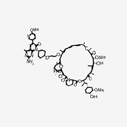 COc1ccc(-c2cc3c(C)nc(N)nc3n([C@H]3CC[C@H](OCCO[C@H]4C[C@@H]5CC[C@@H](C)[C@@](O)(O5)C(=O)C(=O)N5CCCCC5C(=O)O[C@H](C(C)C[C@H]5CC[C@@H](O)[C@H](OC)C5)CC(=O)[C@H](C)/C=C(\C)[C@@H](O)[C@@H](OC)C(=O)[C@H](C)C[C@H](C)/C=C/C=C/C=C\4C)CC3)c2=O)cn1